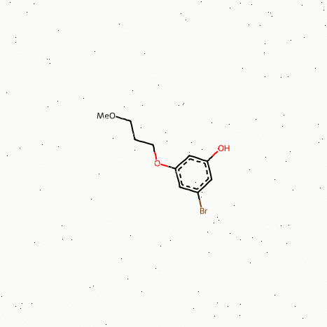 COCCCOc1cc(O)cc(Br)c1